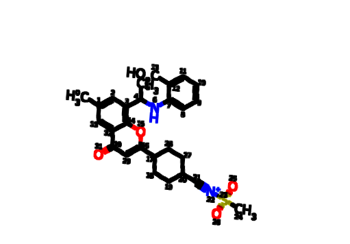 Cc1cc(C(C)Nc2ccccc2C(=O)O)c2oc(C3CCC(C#[N+]S(C)(=O)=O)CC3)cc(=O)c2c1